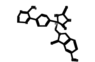 COc1ccc2c(c1)C(=O)N(C[C@]1(c3ccc(-c4nccnc4C)cc3)NC(=O)NC1=O)C2